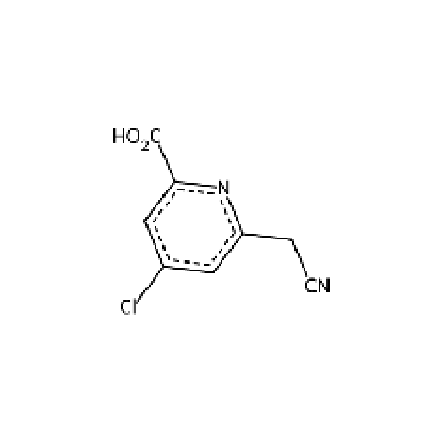 N#CCc1cc(Cl)cc(C(=O)O)n1